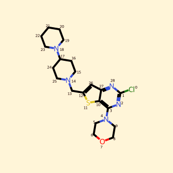 Clc1nc(N2CCOCC2)c2sc(CN3CCC(N4CCCCC4)CC3)cc2n1